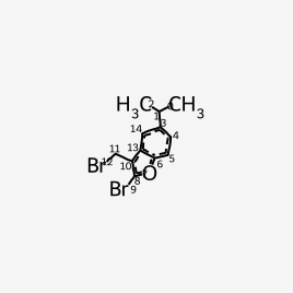 CC(C)c1ccc2oc(Br)c(CBr)c2c1